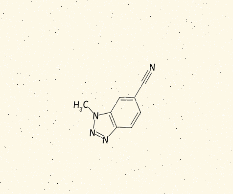 Cn1nnc2ccc(C#N)cc21